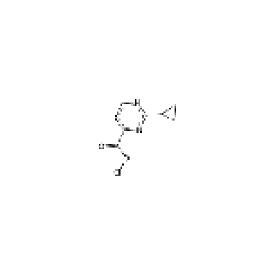 O=C(OCl)c1ccnc(C2CC2)n1